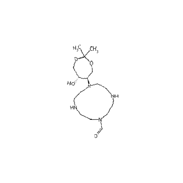 CC1(C)OC[C@@H](O)[C@H](N2CCNCCN(C=O)CCNCC2)CO1